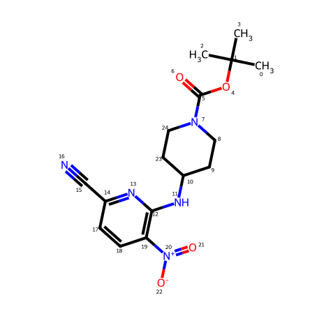 CC(C)(C)OC(=O)N1CCC(Nc2nc(C#N)ccc2[N+](=O)[O-])CC1